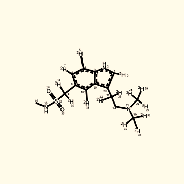 [2H]c1[nH]c2c([2H])c([2H])c(C([2H])([2H])S(=O)(=O)NC)c([2H])c2c1C([2H])([2H])CN(C([2H])([2H])[2H])C([2H])([2H])[2H]